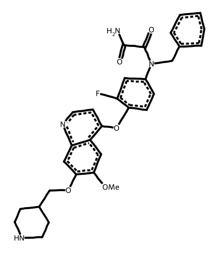 COc1cc2c(Oc3ccc(N(Cc4ccccc4)C(=O)C(N)=O)cc3F)ccnc2cc1OCC1CCNCC1